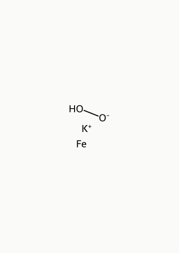 [Fe].[K+].[O-]O